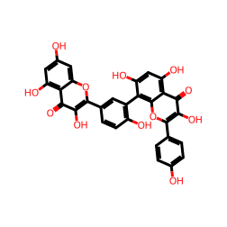 O=c1c(O)c(-c2ccc(O)c(-c3c(O)cc(O)c4c(=O)c(O)c(-c5ccc(O)cc5)oc34)c2)oc2cc(O)cc(O)c12